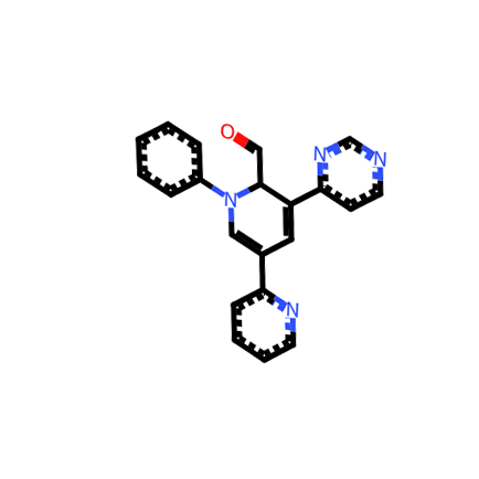 O=CC1C(c2ccncn2)=CC(c2ccccn2)=CN1c1ccccc1